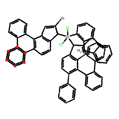 CC(C)C1=Cc2c(ccc(-c3ccccc3)c2-c2ccccc2-c2ccccc2)[CH]1[Zr]([Cl])([Cl])([c]1cccc2c1[SiH2]c1ccccc1-2)[CH]1C(C(C)C)=Cc2c1ccc(-c1ccccc1)c2-c1ccccc1-c1ccccc1